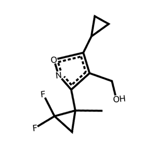 CC1(c2noc(C3CC3)c2CO)CC1(F)F